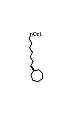 CCCCCCCCCCCCCCC=C1CCCCCC1